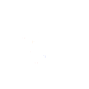 CCOP(=O)(/C=[N+](\[O-])C1CCCCC1)OCC